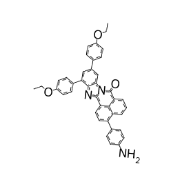 CCOc1ccc(-c2cc(-c3ccc(OCC)cc3)c3nc4c5ccc(-c6ccc(N)cc6)c6cccc(c(=O)n4c3c2)c65)cc1